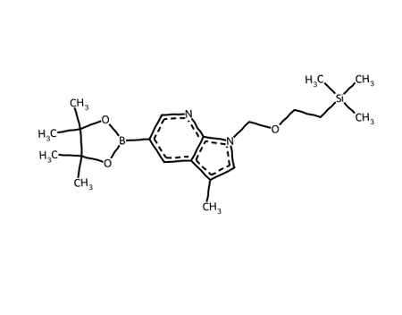 Cc1cn(COCC[Si](C)(C)C)c2ncc(B3OC(C)(C)C(C)(C)O3)cc12